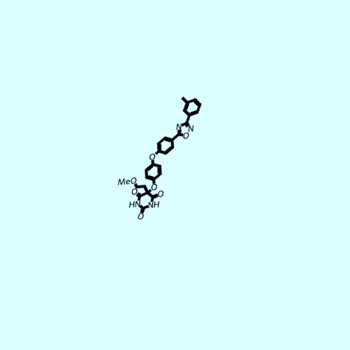 COCCC1(Oc2ccc(Oc3ccc(-c4nc(-c5cccc(C)c5)no4)cc3)cc2)C(=O)NC(=O)NC1=O